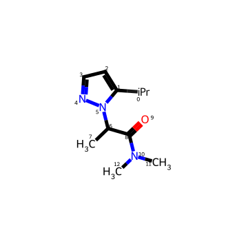 CC(C)c1ccnn1C(C)C(=O)N(C)C